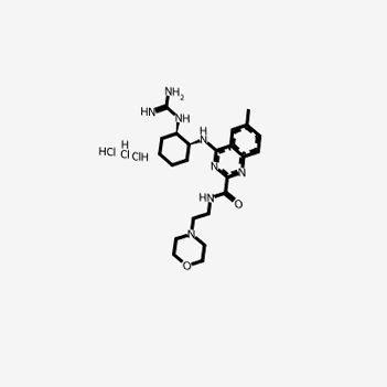 Cc1ccc2nc(C(=O)NCCN3CCOCC3)nc(N[C@H]3CCCC[C@H]3NC(=N)N)c2c1.Cl.Cl.Cl